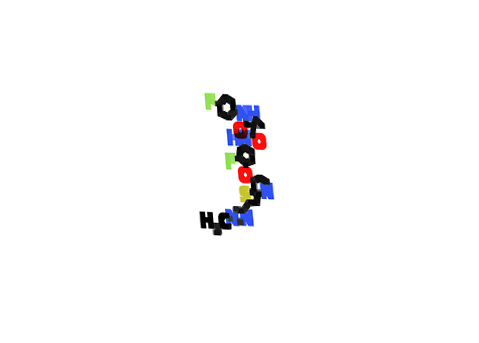 Cn1cnc(-c2cc3nccc(Oc4ccc(NC(=O)C5(C(=O)Nc6ccc(F)cc6)CC5)cc4F)c3s2)c1